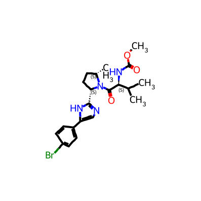 COC(=O)N[C@H](C(=O)N1[C@@H](C)CC[C@H]1c1ncc(-c2ccc(Br)cc2)[nH]1)C(C)C